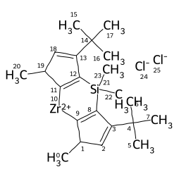 CC1C=C(C(C)(C)C)C2=[C]1[Zr+2][C]1=C(C(C(C)(C)C)=CC1C)[Si]2(C)C.[Cl-].[Cl-]